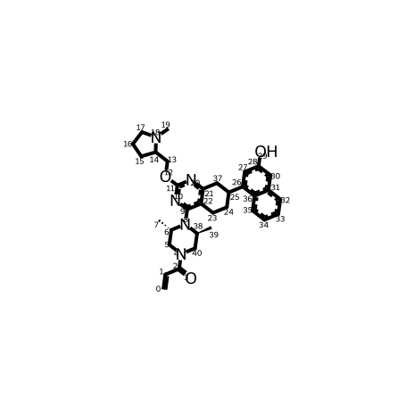 C=CC(=O)N1C[C@H](C)N(c2nc(OCC3CCCN3C)nc3c2CCC(c2cc(O)cc4ccccc24)C3)[C@@H](C)C1